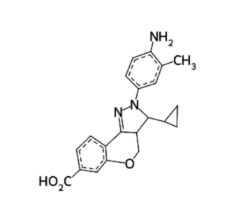 Cc1cc(N2N=C3c4ccc(C(=O)O)cc4OCC3C2C2CC2)ccc1N